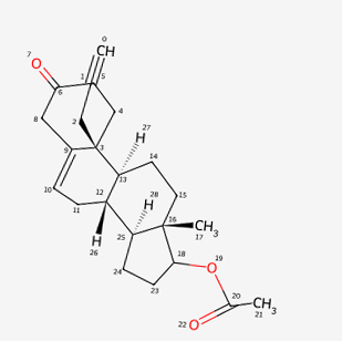 C#CC[C@]12CCC(=O)CC1=CC[C@@H]1[C@@H]2CC[C@]2(C)C(OC(C)=O)CC[C@@H]12